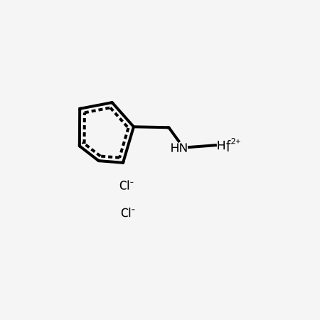 [Cl-].[Cl-].[Hf+2][NH]Cc1ccccc1